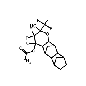 CC(=O)OC1(C)C2C3CC(C2OC(O)(C(F)(F)F)C1(F)F)C1C2CCC(C2)C31